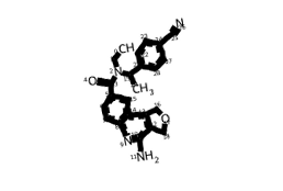 CCN(C(=O)c1ccc2nc(N)c3c(c2c1)COC3)C(C)c1ccc(C#N)cc1